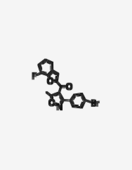 Cc1onc(-c2ccc(Br)cc2)c1C(=O)c1cc2cccc(F)c2o1